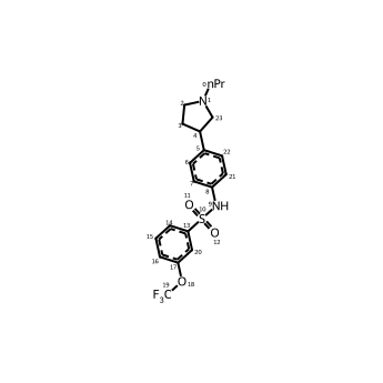 CCCN1CCC(c2ccc(NS(=O)(=O)c3cccc(OC(F)(F)F)c3)cc2)C1